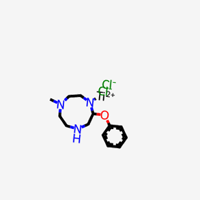 CN1CCNCC(Oc2ccccc2)[N]([Ti+2])CC1.[Cl-].[Cl-]